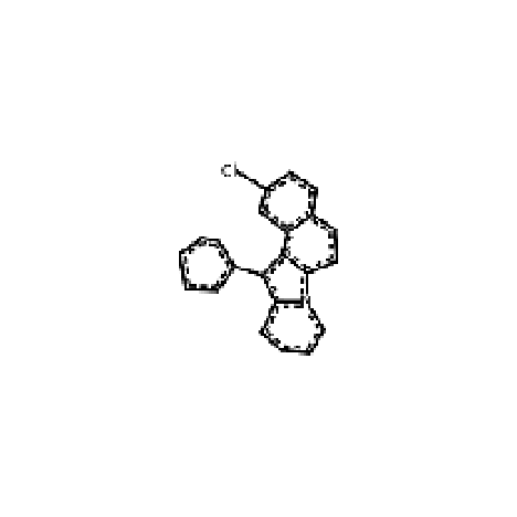 Clc1ccc2ccc3c(c(-c4ccccc4)c4ccccn43)c2c1